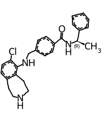 C[C@@H](NC(=O)c1ccc(CNc2c(Cl)ccc3c2CCNCC3)cc1)c1ccccc1